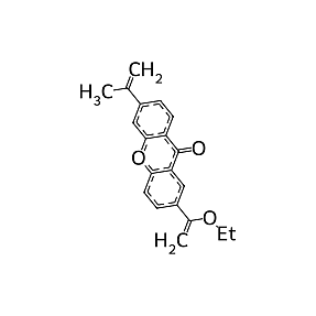 C=C(C)c1ccc2c(=O)c3cc(C(=C)OCC)ccc3oc2c1